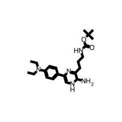 CCN(CC)c1ccc(C2=CNC(N)C(CCCNC(=O)OC(C)(C)C)=N2)cc1